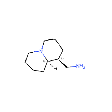 NC[C@@H]1CCCN2CCCC[C@H]12